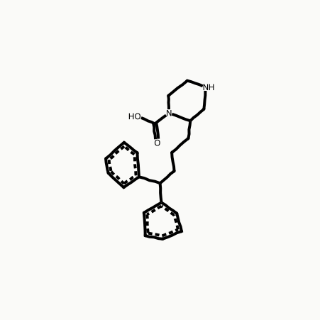 O=C(O)N1CCNCC1CCCC(c1ccccc1)c1ccccc1